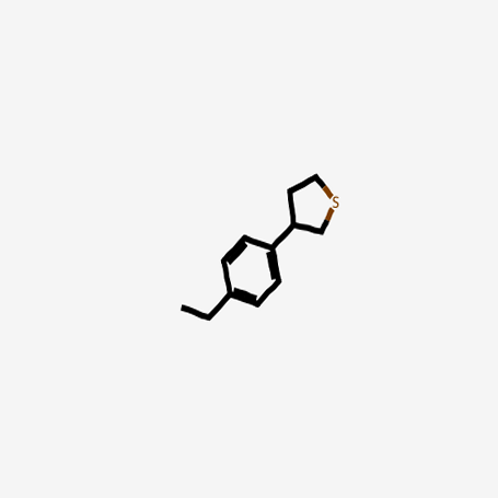 CCc1ccc(C2CCSC2)cc1